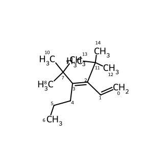 C=C/C(=C(\CCC)C(C)(C)C)C(C)(C)C